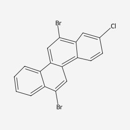 Clc1ccc2c(c1)c(Br)cc1c3ccccc3c(Br)cc21